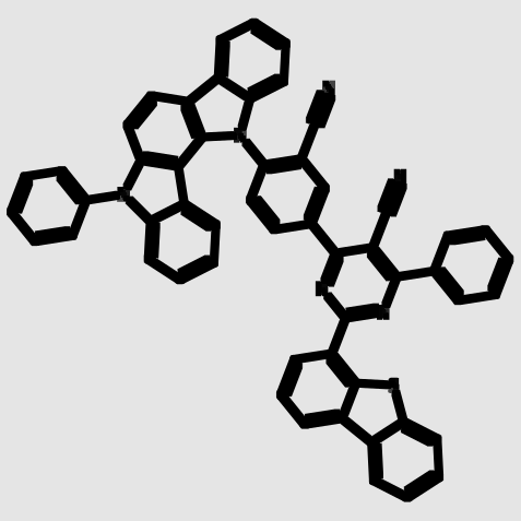 N#Cc1cc(-c2nc(-c3cccc4c3sc3ccccc34)nc(-c3ccccc3)c2C#N)ccc1-n1c2ccccc2c2ccc3c(c4ccccc4n3-c3ccccc3)c21